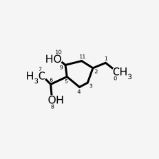 CCC1CCC(C(C)O)C(O)C1